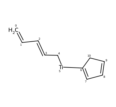 C=CC=C[CH2][Ti][C]1=CC=CC1